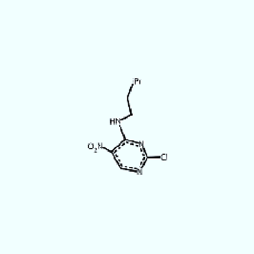 CC(C)CCNc1nc(Cl)ncc1[N+](=O)[O-]